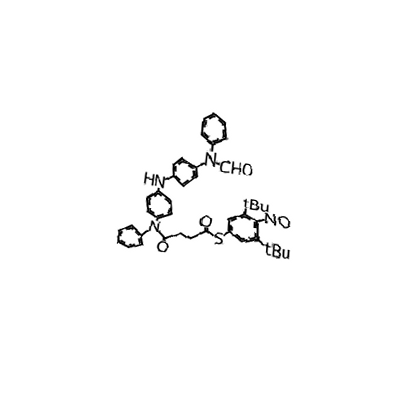 CC(C)(C)c1cc(SC(=O)CCC(=O)N(c2ccccc2)c2ccc(Nc3ccc(N(C=O)c4ccccc4)cc3)cc2)cc(C(C)(C)C)c1N=O